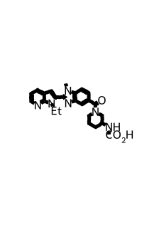 CCn1c(-c2nc3cc(C(=O)N4CCCC(NC(=O)O)C4)ccc3n2C)cc2cccnc21